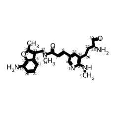 CNc1ncc(/C=C/C(=O)N(C)Cc2c(C)oc3c(N)cccc23)cc1CC[C@H](N)C=O